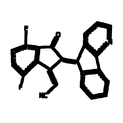 N#C/C=C1/C(=C2\c3ccccc3-c3ncccc32)C(=O)c2c(F)ccc(F)c21